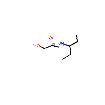 CCC(CC)NC[C@@H](O)CO